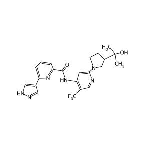 CC(C)(O)C1CCN(c2cc(NC(=O)c3cccc(-c4cn[nH]c4)n3)c(C(F)(F)F)cn2)C1